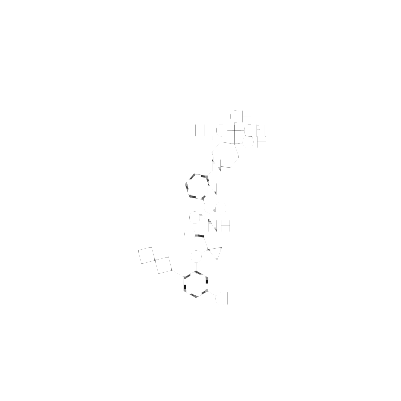 CC(C)(C)C1(O)CCN(c2cccc(S(=O)(=O)NC(=O)C3(Oc4cc(Cl)ccc4C4CC5(CCC5)C4)CC3)n2)CC1